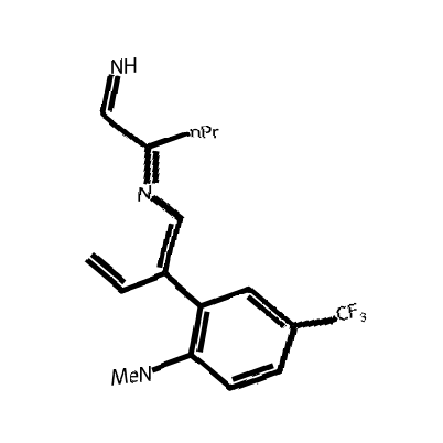 C=C/C(=C\N=C(\C=N)CCC)c1cc(C(F)(F)F)ccc1NC